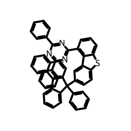 c1ccc(-c2nc(-c3ccccc3)nc(-c3cccc4sc5ccc(C6(c7ccccc7)c7ccccc7-c7c6ccc6ccccc76)cc5c34)n2)cc1